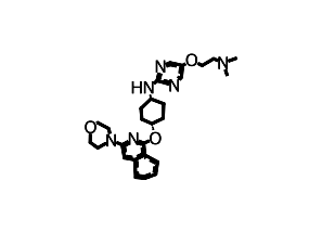 CN(C)CCOc1cnc(N[C@H]2CC[C@@H](Oc3nc(N4CCOCC4)cc4ccccc34)CC2)nc1